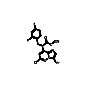 CC(C)c1cnc2c(N(Cc3ccc(F)cc3F)C(=O)OC(C)(C)C)cc(Cl)nn12